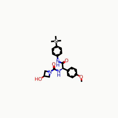 COc1ccc([C@@H](NC(=O)N2CC(O)C2)C(=O)Nc2ccc([Si](C)(C)C)cc2)cc1